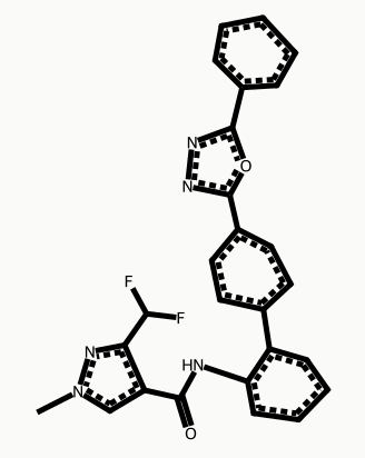 Cn1cc(C(=O)Nc2ccccc2-c2ccc(-c3nnc(-c4ccccc4)o3)cc2)c(C(F)F)n1